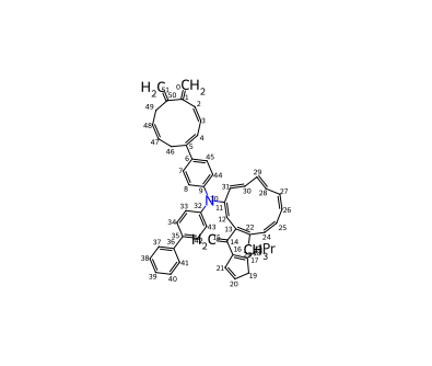 C=C1/C=C\C=C(\c2ccc(N(C3=C/C(C(=C)C4=C(CCC)CC=C4)=C(C)\C=C/C=C\C=C\C=C\3)c3ccc(-c4ccccc4)cc3)cc2)C/C=C\CC1=C